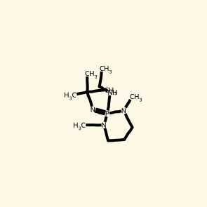 CCNP1(=NC(C)(C)C)N(C)CCCN1C